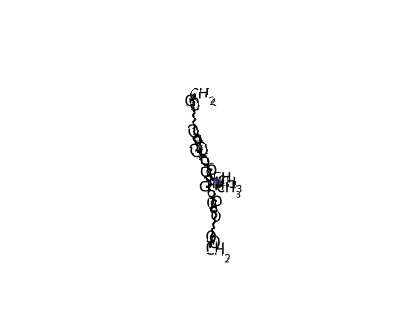 C=CC(=O)OCCCCCCOc1ccc(OC(=O)C2CCC(C(=O)Oc3ccc(PC(=O)C4CCC(C(=O)Oc5ccc(OCCCCCCOC(=O)C=C)cc5)CC4)c(/C(C)=N/N(C)C)c3)CC2)cc1